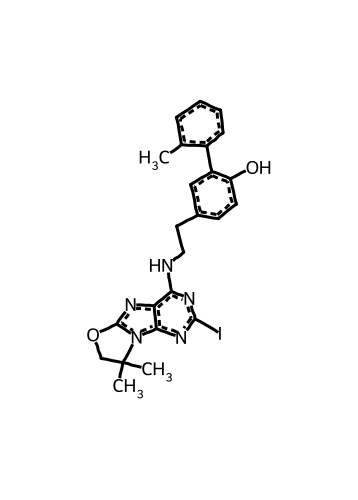 Cc1ccccc1-c1cc(CCNc2nc(I)nc3c2nc2n3C(C)(C)CO2)ccc1O